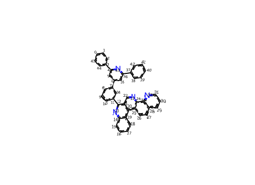 c1ccc(-c2cc(-c3cccc(-c4nc5ccccc5c5c4cnc4c5ccc5cccnc54)c3)cc(-c3ccccc3)n2)cc1